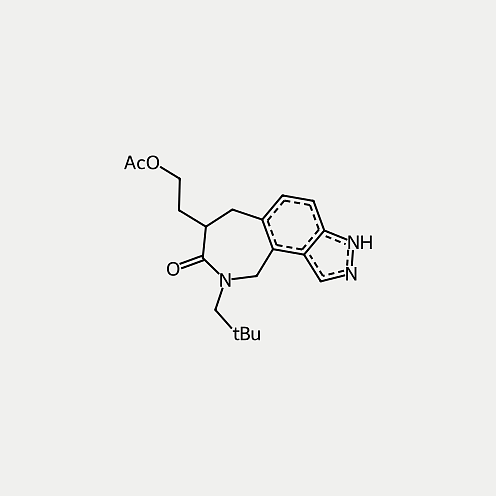 CC(=O)OCCC1Cc2ccc3[nH]ncc3c2CN(CC(C)(C)C)C1=O